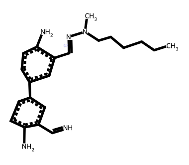 CCCCCCN(C)/N=C/c1cc(-c2ccc(N)c(C=N)c2)ccc1N